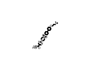 CN(C)CCCOc1ccc(-c2ccc(S(=O)(=O)N3CCN(c4ncc(C(=O)NO)cn4)CC3)cc2)cc1